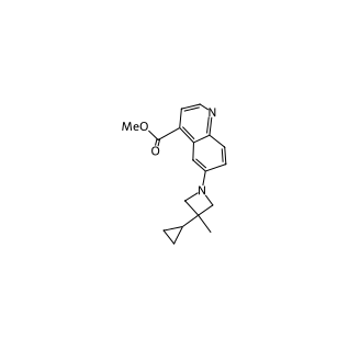 COC(=O)c1ccnc2ccc(N3CC(C)(C4CC4)C3)cc12